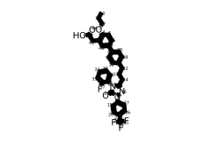 CCCOc1ccc(-c2ccc(CCCc3nn(-c4ccc(C(F)(F)F)cc4)c(=O)n3-c3ccccc3F)cc2)cc1CC(=O)O